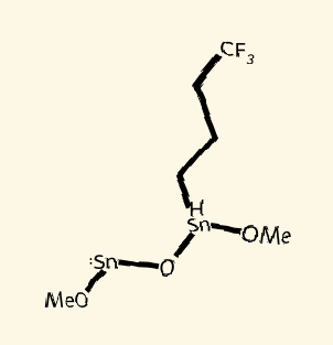 C[O][Sn][O][SnH]([CH2]CCC(F)(F)F)[O]C